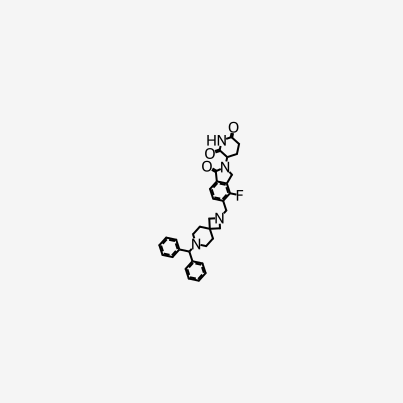 O=C1CCC(N2Cc3c(ccc(CN4CC5(CCN(C(c6ccccc6)c6ccccc6)CC5)C4)c3F)C2=O)C(=O)N1